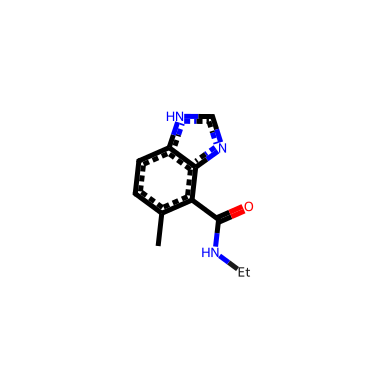 CCNC(=O)c1c(C)ccc2[nH]cnc12